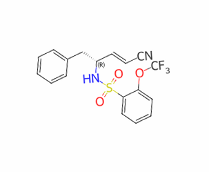 N#CC=C[C@@H](Cc1ccccc1)NS(=O)(=O)c1ccccc1OC(F)(F)F